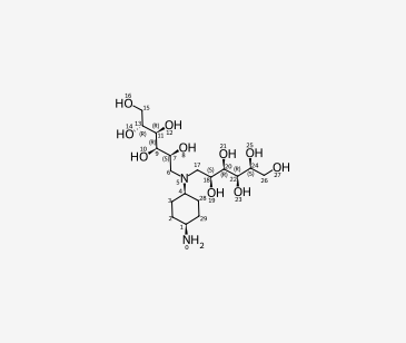 N[C@H]1CC[C@@H](N(C[C@H](O)[C@@H](O)[C@H](O)[C@H](O)CO)C[C@H](O)[C@@H](O)[C@H](O)[C@@H](O)CO)CC1